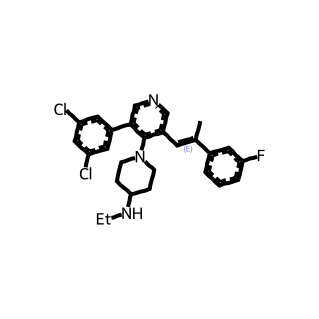 CCNC1CCN(c2c(/C=C(\C)c3cccc(F)c3)cncc2-c2cc(Cl)cc(Cl)c2)CC1